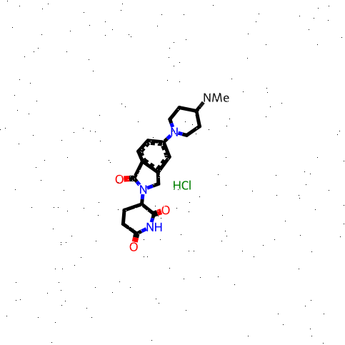 CNC1CCN(c2ccc3c(c2)CN(C2CCC(=O)NC2=O)C3=O)CC1.Cl